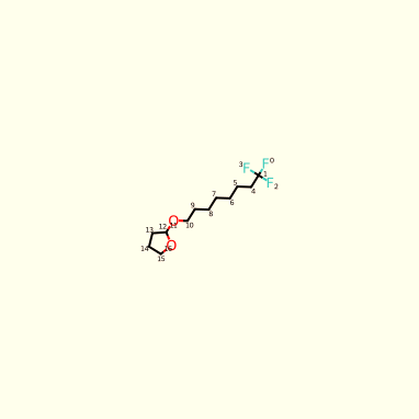 FC(F)(F)CCCCCCCOC1CCCO1